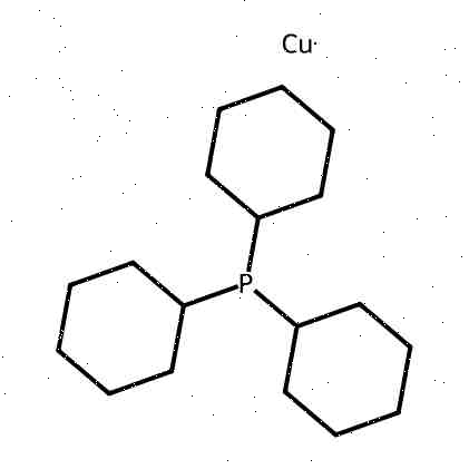 C1CCC(P(C2CCCCC2)C2CCCCC2)CC1.[Cu]